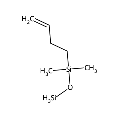 C=CCC[Si](C)(C)O[SiH3]